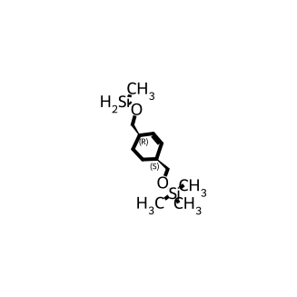 C[SiH2]OC[C@H]1C=C[C@@H](CO[Si](C)(C)C)CC1